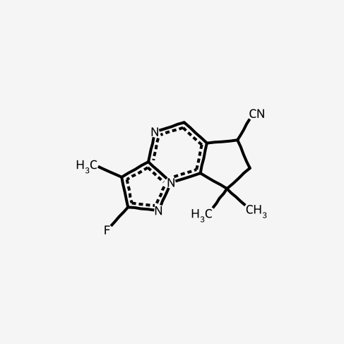 Cc1c(F)nn2c3c(cnc12)C(C#N)CC3(C)C